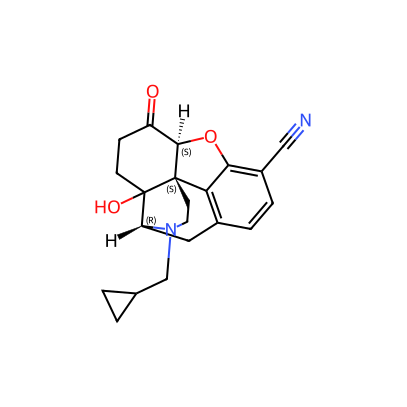 N#Cc1ccc2c3c1O[C@@H]1C(=O)CCC4(O)[C@@H](C2)N(CC2CC2)CC[C@]314